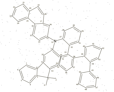 CC1(C)c2ccccc2-c2cc(N(c3ccc4c(ccc5ccccc54)c3)c3ccccc3-c3ccccc3-c3ccccc3-c3ccccc3)ccc21